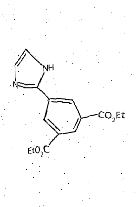 CCOC(=O)c1cc(C(=O)OCC)cc(-c2ncc[nH]2)c1